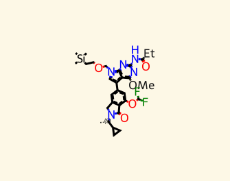 CCC(=O)Nc1nc(OC)c2c(-c3cc4c(c(OC(F)F)c3)C(=O)N([C@@H](C)C3CC3)C4)cn(COCC[Si](C)(C)C)c2n1